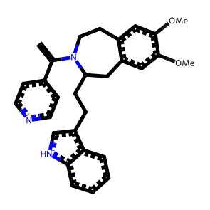 C=C(c1ccncc1)N1CCc2cc(OC)c(OC)cc2CC1CCc1c[nH]c2ccccc12